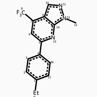 CCc1ccc(-c2cc(C(F)(F)F)c3cnn(C)c3n2)cc1